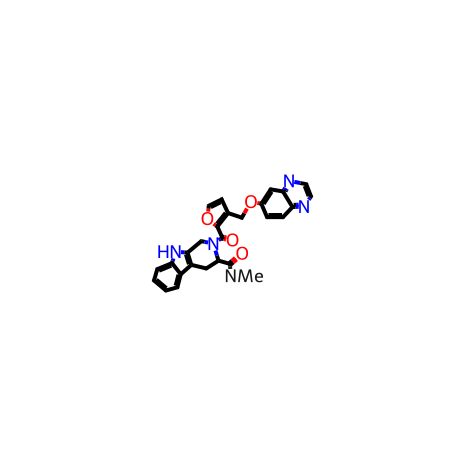 CNC(=O)C1Cc2c([nH]c3ccccc23)CN1C(=O)c1occc1COc1ccc2nccnc2c1